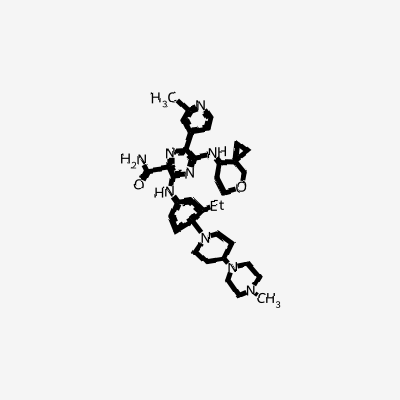 CCc1cc(Nc2nc(NC3CCOCC34CC4)c(-c3ccnc(C)c3)nc2C(N)=O)ccc1N1CCC(N2CCN(C)CC2)CC1